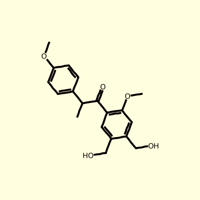 COc1ccc(C(C)C(=O)c2cc(CO)c(CO)cc2OC)cc1